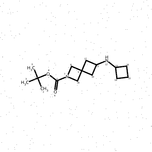 CC(C)(C)OC(=O)N1CC2(CC(NC3CCC3)C2)C1